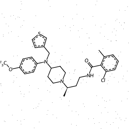 Cc1cccc(Cl)c1C(=O)NCC[C@@H](C)N1CCC(N(Cc2ccsc2)c2ccc(OC(F)(F)F)cc2)CC1